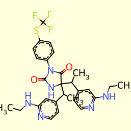 CCNc1cc(C(C)C2(C(C)c3ccnc(NCC)c3)NC(=O)N(c3ccc(SC(F)(F)F)cc3)C2=O)ccn1